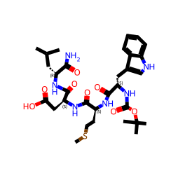 CSCC[C@H](NC(=O)[C@H](Cc1c[nH]c2ccccc12)NC(=O)OC(C)(C)C)C(=O)N[C@@H](CC(=O)O)C(=O)N[C@H](CC(C)C)C(N)=O